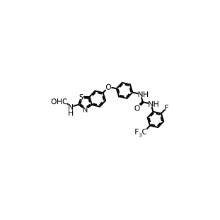 O=CNc1nc2ccc(Oc3ccc(NC(=O)Nc4cc(C(F)(F)F)ccc4F)cc3)cc2s1